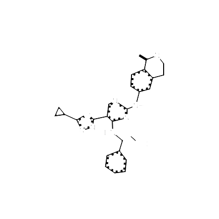 O=C1NCCc2cc(Nc3ncc(-c4nnc(C5CC5)o4)c(N[C@H](CO)c4ccccc4)n3)ccc21